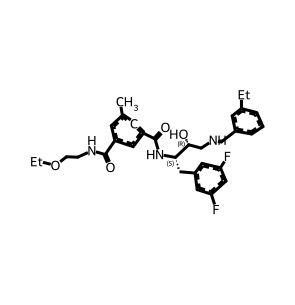 CCOCCNC(=O)c1cc(C)cc(C(=O)N[C@@H](Cc2cc(F)cc(F)c2)[C@H](O)CNCc2cccc(CC)c2)c1